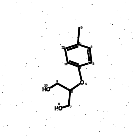 Cc1ccc(OC(CO)CO)cc1